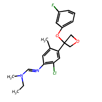 CCN(C)C=Nc1cc(C)c(C2(Oc3cccc(F)c3)COC2)cc1Cl